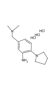 CN(C)Cc1ccc(N2CCCC2)c(N)c1.Cl.Cl.Cl